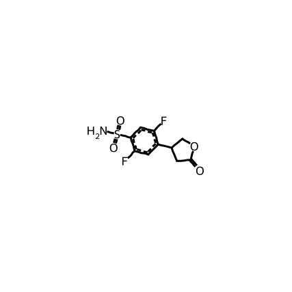 NS(=O)(=O)c1cc(F)c(C2COC(=O)C2)cc1F